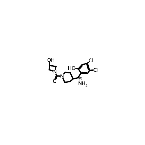 N[C@@H](c1cc(Cl)c(Cl)cc1O)C1CCN(C(=O)N2CC(O)C2)CC1